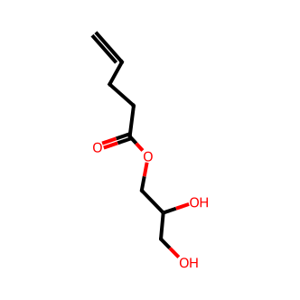 C=CCCC(=O)OCC(O)CO